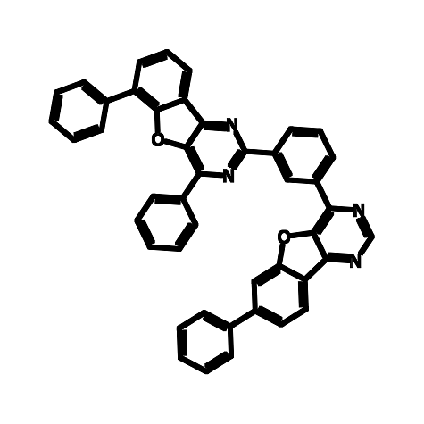 c1ccc(-c2ccc3c(c2)oc2c(-c4cccc(-c5nc(-c6ccccc6)c6oc7c(-c8ccccc8)cccc7c6n5)c4)ncnc23)cc1